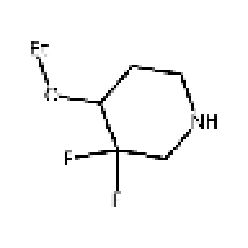 CCOC1CCNCC1(F)F